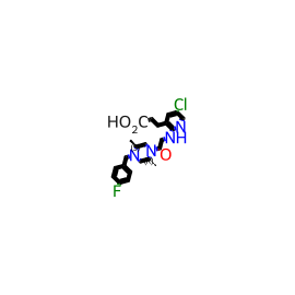 C[C@@H]1CN(Cc2ccc(F)cc2)[C@@H](C)CN1C(=O)CNc1ncc(Cl)cc1CCC(=O)O